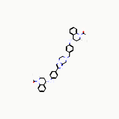 CCC(=O)N1c2ccccc2[C@H](Nc2ccc(CN3CCn4cc(-c5ccc(N[C@@H]6C[C@H](C)N(C(=O)CC)c7ccccc76)cc5)nc4C3)cc2)C[C@@H]1C